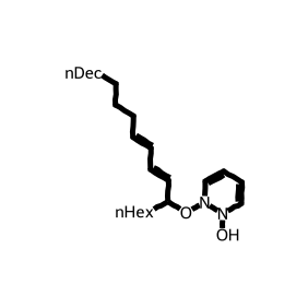 CCCCCCCCCCCCCC=CC=CC(CCCCCC)ON1C=CC=CN1O